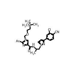 CC(=O)c1nc(C(=O)NC(C)Cn2ccc(-c3ccc(C#N)c(Cl)c3)n2)cn1COCC[Si](C)(C)C